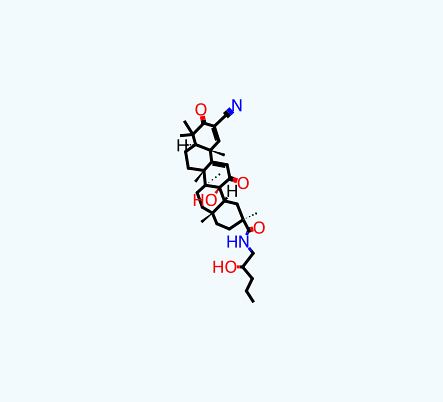 CCCC(O)CNC(=O)[C@@]1(C)CC[C@]2(C)CC[C@@]3(C)[C@]4(C)CC[C@H]5C(C)(C)C(=O)C(C#N)=C[C@]5(C)C4=CC(=O)[C@]3(O)[C@@H]2C1